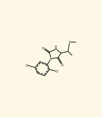 CSC(C)C1NC(=O)N(c2cc(Cl)ccc2Cl)C1=O